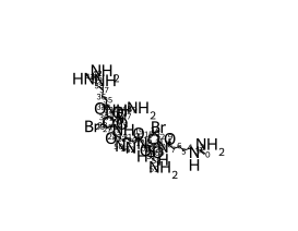 C=C(N)NCCCCC(=O)Nc1cc(Br)cc(NC(=O)c2cc(C(=O)Nc3cc(Br)cc(NC(=O)CCCCNC(=N)N)c3S(=O)(=O)CCN)ncn2)c1S(=O)(=O)CCN